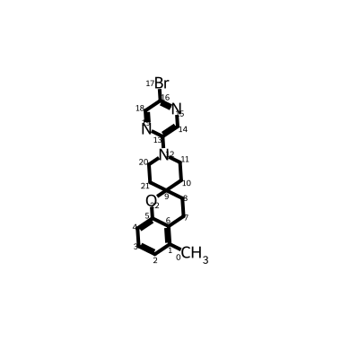 Cc1cccc2c1CCC1(CCN(c3cnc(Br)cn3)CC1)O2